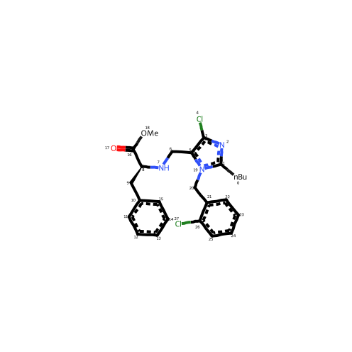 CCCCc1nc(Cl)c(CN[C@@H](Cc2ccccc2)C(=O)OC)n1Cc1ccccc1Cl